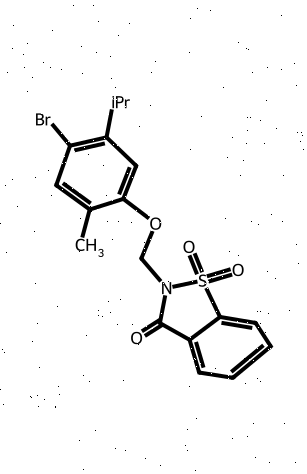 Cc1cc(Br)c(C(C)C)cc1OCN1C(=O)c2ccccc2S1(=O)=O